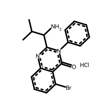 CC(C)C(N)c1nc2cccc(Br)c2c(=O)n1-c1ccccc1.Cl